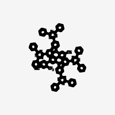 N#Cc1ccc(-c2ccc(-c3ccc(C#N)cc3C(F)(F)F)cc2-n2c3ccc(-c4nc(-c5ccccc5)nc(-c5ccccc5)n4)cc3c3cc(-c4nc(-c5ccccc5)nc(-c5ccccc5)n4)ccc32)c(-n2c3ccc(-c4nc(-c5ccccc5)nc(-c5ccccc5)n4)cc3c3cc(-c4nc(-c5ccccc5)nc(-c5ccccc5)n4)ccc32)c1